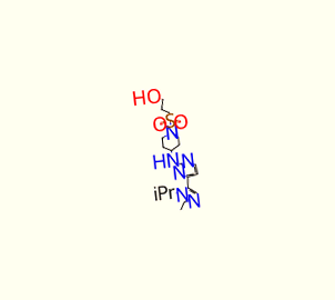 Cc1ncc(-c2ccnc(NC3CCN(S(=O)(=O)CCCO)CC3)n2)n1C(C)C